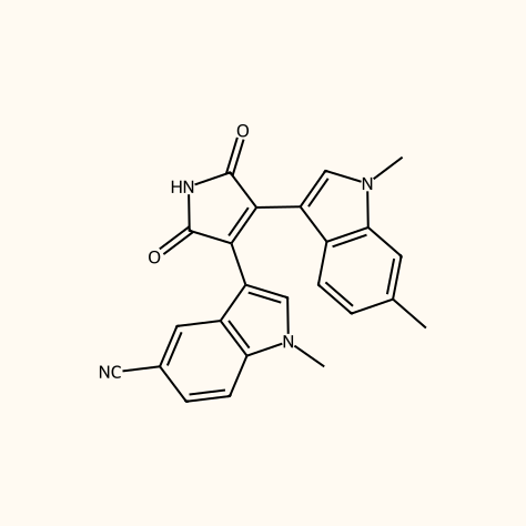 Cc1ccc2c(C3=C(c4cn(C)c5ccc(C#N)cc45)C(=O)NC3=O)cn(C)c2c1